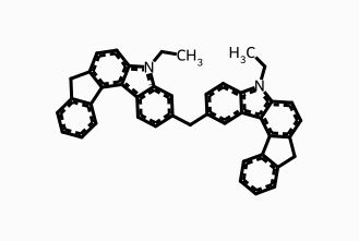 CCn1c2ccc(Cc3ccc4c5c6c(ccc5n(CC)c4c3)Cc3ccccc3-6)cc2c2c3c(ccc21)Cc1ccccc1-3